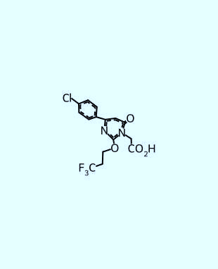 O=C(O)Cn1c(OCCC(F)(F)F)nc(-c2ccc(Cl)cc2)cc1=O